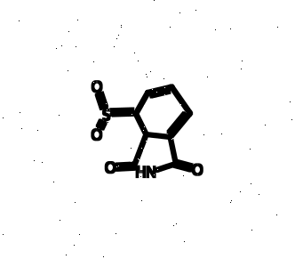 O=C1NC(=O)C2C1=CC=CC2=S(=O)=O